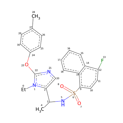 CCn1c(C(C)NS(=O)(=O)c2ccc(F)c3ccccc23)cnc1Oc1ccc(C)cc1